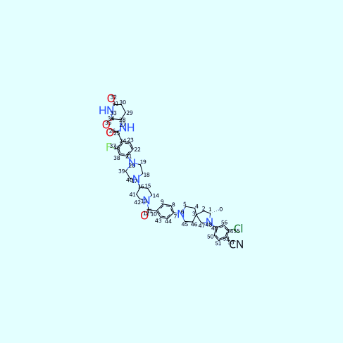 C[C@H]1CC2(CCN(c3ccc(C(=O)N4CCC(N5CCN(c6ccc(C(=O)N[C@H]7CCC(=O)NC7=O)c(F)c6)CC5)CC4)cc3)CC2)CN1c1ccc(C#N)c(Cl)c1